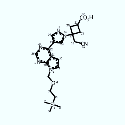 C[Si](C)(C)CCOCn1ccc2c(-c3cnn(C4(CC#N)CC(C(=O)O)C4)c3)ncnc21